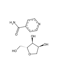 NC(=O)c1ccncc1.OC[C@H]1OC[C@H](O)[C@@H]1O